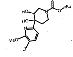 COc1nc([C@@]2(O)CCN(C(=O)OC(C)(C)C)C[C@@H]2O)ccc1Cl